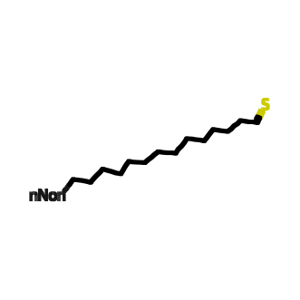 CCCCCCCCCCCCCCCCCCCCCCC=S